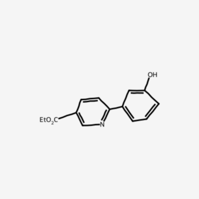 CCOC(=O)c1ccc(-c2cccc(O)c2)nc1